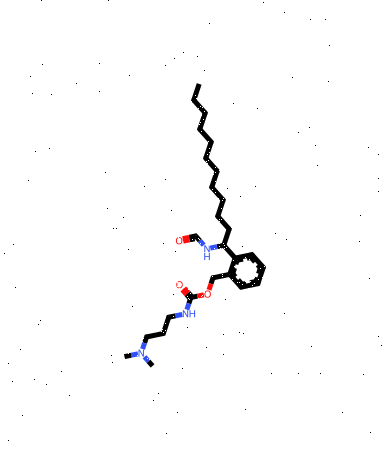 CCCCCCCCCCCC(NC=O)c1ccccc1COC(=O)NCCCN(C)C